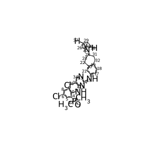 CP(C)(=O)c1cc(Cl)ccc1Nc1nc(Nc2ccc3c(c2)CCC(N2C[C@H]4C5C4[C@H]52)CC3)ncc1Cl